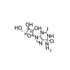 NC1(Cl)NC(I)=Nc2c1ncn2[C@@H]1O[C@H](CO)[C@@H](O)[C@H]1O